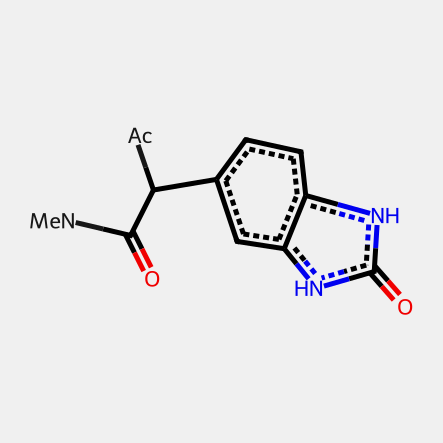 CNC(=O)C(C(C)=O)c1ccc2[nH]c(=O)[nH]c2c1